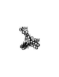 CNC(=O)C1CCC(CN2C(=O)CC(SCC(=O)[C@]3(O)Cc4c(O)c5c(c(O)c4[C@@H](O[C@H]4C[C@H]6[C@H](O[C@@H]7[C@@H](OC)OCCN76)[C@H](C)O4)C3)C(=O)c3c(OC)cccc3C5=O)C2=O)CC1